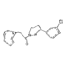 O=C(Cc1ccccc1)N1CCC(c2cccc(Cl)c2)=N1